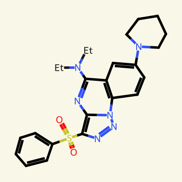 CCN(CC)c1nc2c(S(=O)(=O)c3ccccc3)nnn2c2ccc(N3CCCCC3)cc12